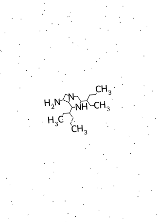 CCCC(CC)C1CN2CC(N)C2C(C(CC)CCC)N1